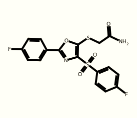 NC(=O)CSc1oc(-c2ccc(F)cc2)nc1S(=O)(=O)c1ccc(F)cc1